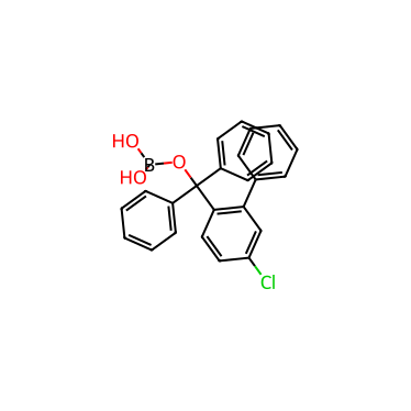 OB(O)OC(c1ccccc1)(c1ccccc1)c1ccc(Cl)cc1-c1ccccc1